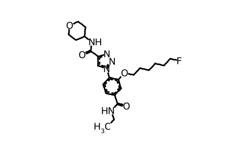 CCNC(=O)c1ccc(-n2cc(C(=O)NC3CCOCC3)nn2)c(OCCCCCCF)c1